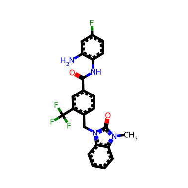 Cn1c(=O)n(Cc2ccc(C(=O)Nc3ccc(F)cc3N)cc2C(F)(F)F)c2ccccc21